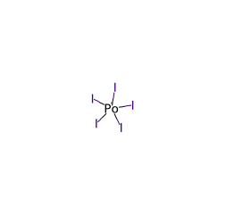 [I][Po]([I])([I])([I])[I]